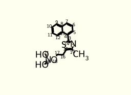 Cc1nc(-c2cccc3ccccc23)sc1CCON(O)O